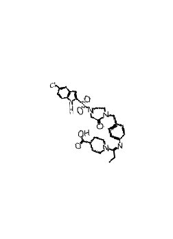 CCC(=Nc1ccc(CN2CCN(S(=O)(=O)c3cc4cc(Cl)ccc4[nH]3)CC2=O)cc1)N1CCC(C(=O)O)CC1